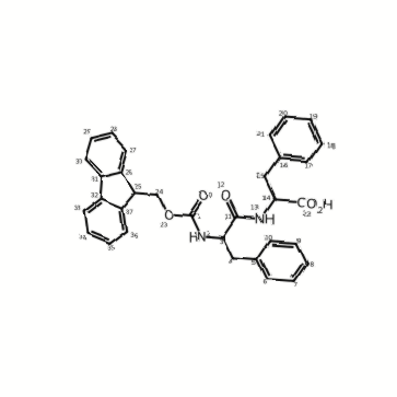 O=C(NC(Cc1ccccc1)C(=O)NC(Cc1ccccc1)C(=O)O)OCC1c2ccccc2-c2ccccc21